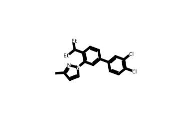 CCC(CC)c1ccc(-c2ccc(Cl)c(Cl)c2)cc1-n1ccc(C)n1